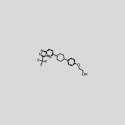 OCCOc1ccc(C2CCN(c3ccc4nnc(C(F)(F)F)n4n3)CC2)cc1